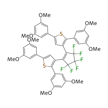 COc1cc(OC)cc(-c2cc(C3=C(c4cc(-c5cc(OC)cc(OC)c5)sc4-c4cc(OC)cc(OC)c4)C(F)(F)C(F)(F)C3(F)F)c(-c3cc(OC)cc(OC)c3)s2)c1